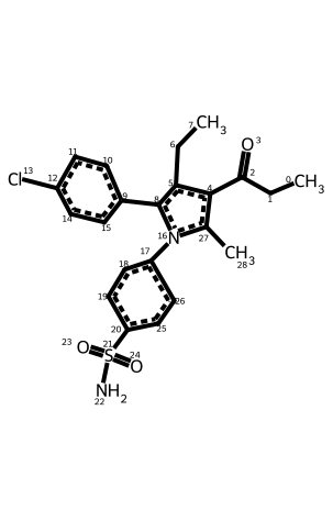 CCC(=O)c1c(CC)c(-c2ccc(Cl)cc2)n(-c2ccc(S(N)(=O)=O)cc2)c1C